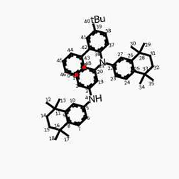 Cc1cc(Nc2ccc3c(c2)C(C)(C)CCC3(C)C)cc(N(c2ccc3c(c2)C(C)(C)CCC3(C)C)c2ccc(C(C)(C)C)cc2-c2ccccc2)c1